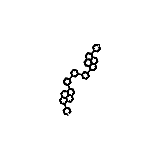 c1cc(-c2cccc(-c3ccc4ccc5c(-c6ccncc6)ccc6ccc3c4c65)c2)cc(-c2cccc(-c3ccc4ccc5c(-c6ccncc6)ccc6ccc3c4c65)c2)c1